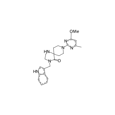 COc1cc(C)nc(N2CCC3(CC2)NCCN(Cc2c[nH]c4ccccc24)C3=O)n1